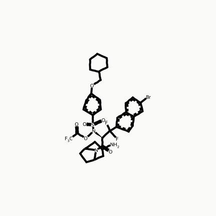 NC1CC2CCC(C1)N2C(=O)[C@@H](N(OC(=O)C(F)(F)F)S(=O)(=O)c1ccc(OCC2CCCCC2)cc1)C(F)(F)c1ccc2cc(Br)ccc2c1